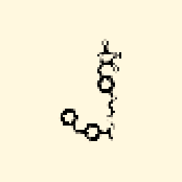 CC(=NOCCOc1ccc(CC2SC(=O)NC2=O)cc1)c1ccc(Cc2ccccc2)nc1